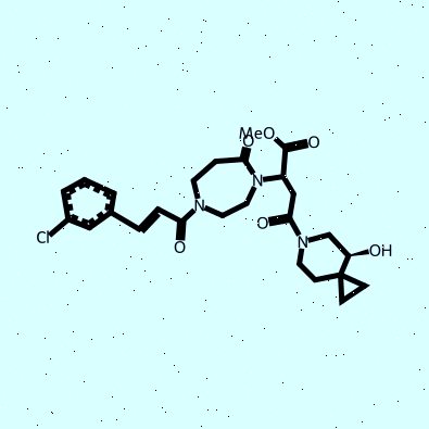 COC(=O)C(CC(=O)N1CCC2(CC2)[C@H](O)C1)N1CCN(C(=O)/C=C/c2cccc(Cl)c2)CCC1=O